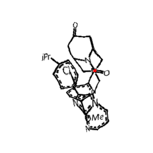 COc1ccc(Cl)c(C(=O)N2C3CC(=O)CC2CN(Cc2c(-c4ccc(C(C)C)cc4)nc4ncccn24)C3)n1